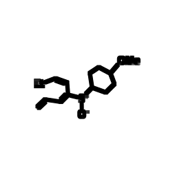 C=C/C=C(\C=C/CC)[S+]([O-])C1CCC(OC)CC1